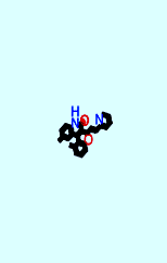 Cc1ccc2[nH]c(=O)c(C(=O)/C=C/c3ccccn3)c(-c3ccccc3C)c2c1